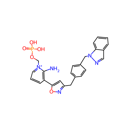 Nc1c(-c2cc(Cc3ccc(Cn4ncc5ccccc54)cc3)no2)ccc[n+]1COP(=O)(O)O